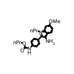 CCCOC(=O)Nc1ccc(-c2c(N)c3ccc(OC)cc3n2CCC)cc1